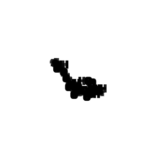 O=C(O)C/C(=C/C(=O)NC1CCC1)C(=O)NC(CSC1CC(=O)N(CCC(=O)NCCOCCOCCC(=O)NC2CCC2)C1=O)C(=O)O